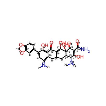 CN(C)c1cc(-c2ccc3c(c2)OCO3)c(O)c2c1CC1CC3C(N(C)C)C(O)=C(C(N)=O)C(=O)C3(O)C(O)=C1C2=O